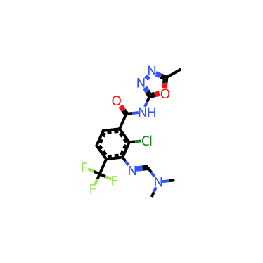 Cc1nnc(NC(=O)c2ccc(C(F)(F)F)c(N=CN(C)C)c2Cl)o1